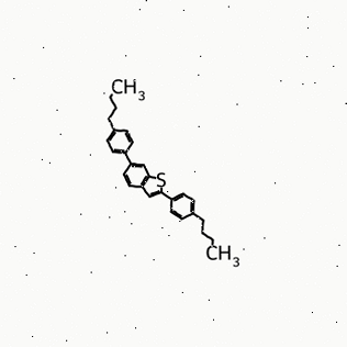 CCCCc1ccc(-c2ccc3cc(-c4ccc(CCCC)cc4)sc3c2)cc1